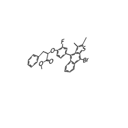 COC(=O)C(Cc1ccccc1)Oc1ccc(-c2c3ccccc3c(Br)c3sc(C)c(C)c23)cc1F